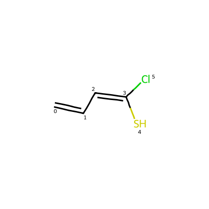 C=C/C=C(\S)Cl